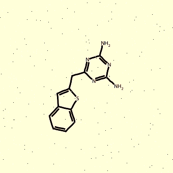 Nc1nc(N)nc(Cc2cc3ccccc3s2)n1